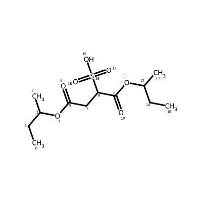 CCC(C)OC(=O)CC(C(=O)OC(C)CC)S(=O)(=O)O